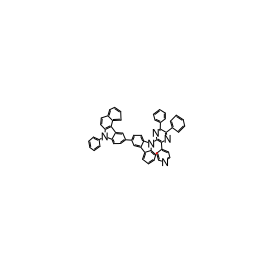 c1ccc(-c2nc(-c3ccncc3)c(-n3c4ccccc4c4cc(-c5ccc6c(c5)c5c7ccccc7ccc5n6-c5ccccc5)ccc43)nc2-c2ccccc2)cc1